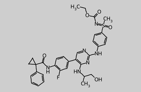 CCOC(=O)N=S(C)(=O)c1ccc(Nc2ncc(-c3ccc(NC(=O)C4(c5ccccc5)CC4)c(F)c3)c(NC(C)CO)n2)cc1